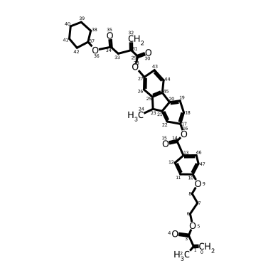 C=C(C)C(=O)OCCCOc1ccc(C(=O)Oc2ccc3c(c2)C(C)c2cc(OC(=O)C(=C)CC(=O)OC4CCCCC4)ccc2-3)cc1